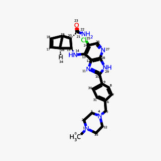 CN1CCN(Cc2ccc(-c3nc4c(N[C@@H]5[C@H]6C=CC6[C@@H]5C(N)=O)c(Cl)cnc4[nH]3)cc2)CC1